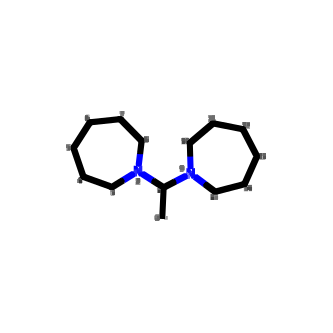 [CH2]C(N1CCCCCC1)N1CCCCCC1